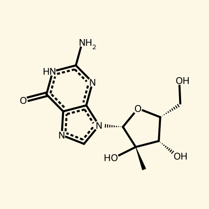 C[C@]1(O)[C@@H](O)[C@@H](CO)O[C@H]1n1cnc2c(=O)[nH]c(N)nc21